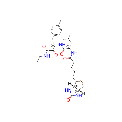 CCNC(=O)C(=O)[C@H](Cc1ccc(C)cc1)NC(=O)[C@H](CC(C)C)NC(=O)CCCCC1SC[C@@H]2NC(=O)N[C@H]12